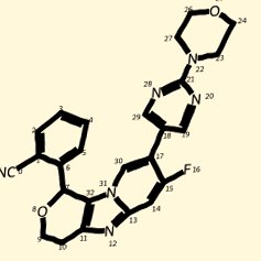 N#Cc1ccccc1C1OCCc2nc3cc(F)c(-c4cnc(N5CCOCC5)nc4)cn3c21